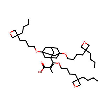 CCCCC1(CCCCOC(=C(C)C(=O)O)C23CC4CC(OCCCCC5(CCCC)COC5)(CC(OCCCCC5(CCCC)COC5)(C4)C2)C3)COC1